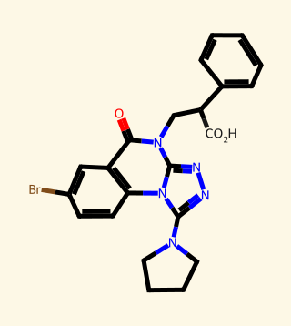 O=C(O)C(Cn1c(=O)c2cc(Br)ccc2n2c(N3CCCC3)nnc12)c1ccccc1